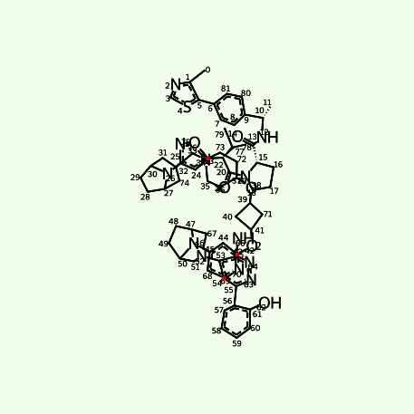 Cc1ncsc1-c1ccc([C@H](C)NC(=O)[C@@H]2CCCN2C(=O)[C@@H](c2cc(N3C4CCC3CC(CN3CCC(OC5CC(Oc6cc(N7C8CCC7CN(c7cc(-c9ccccc9O)nnc7N)C8)ccn6)C5)CC3)C4)no2)C(C)C)cc1